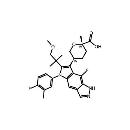 COCC(C)(C)c1c([C@@H]2CC[C@@](C)(C(=O)O)OC2)c2c(F)c3[nH]ncc3cc2n1-c1ccc(F)c(C)c1